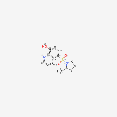 CC1CCCN1S(=O)(=O)c1ccc(O)c2ncccc12